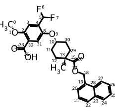 COc1cc(C(F)F)c(O[C@H]2CC[C@@](C)(C(=O)OCc3cccc4ccccc34)CC2)cc1C(=O)O